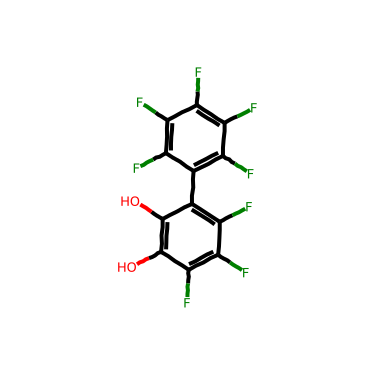 Oc1c(O)c(-c2c(F)c(F)c(F)c(F)c2F)c(F)c(F)c1F